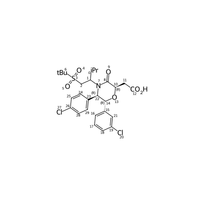 CC(C)C(CS(=O)(=O)C(C)(C)C)N1C(=O)[C@@H](CC(=O)O)O[C@H](c2cccc(Cl)c2)[C@H]1c1ccc(Cl)cc1